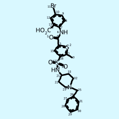 Cc1sc(C(=O)Nc2ccc(Br)cc2C(=O)O)cc1S(=O)(=O)NC1CCN(Cc2ccccc2)CC1